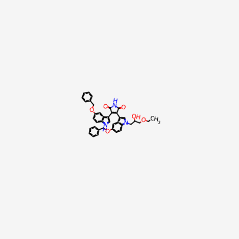 CCOCC(O)Cn1cc(C2=C(c3c[nH]c4ccc(OCc5ccccc5)cc34)C(=O)NC2=O)c2cc(OCc3ccccc3)ccc21